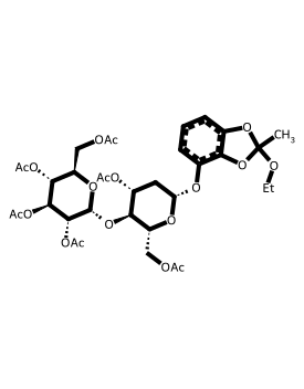 CCOC1(C)Oc2cccc(O[C@H]3C[C@@H](OC(C)=O)[C@H](O[C@H]4O[C@H](COC(C)=O)[C@@H](OC(C)=O)[C@H](OC(C)=O)[C@H]4OC(C)=O)[C@@H](COC(C)=O)O3)c2O1